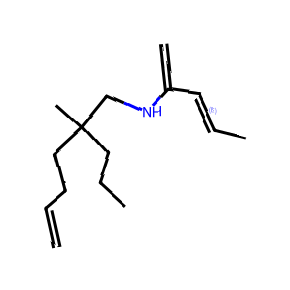 C=CCCC(C)(CCC)CNC(=C)/C=C/C